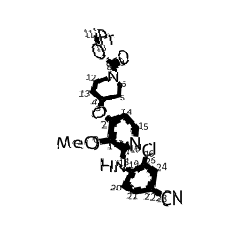 COc1c(OC2CCN(C(=O)OC(C)C)CC2)ccnc1Nc1ccc(C#N)cc1Cl